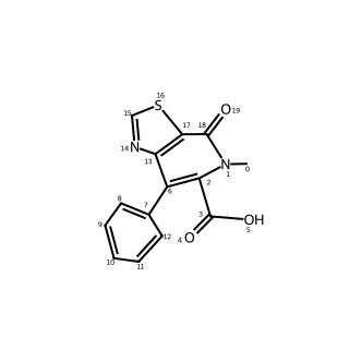 Cn1c(C(=O)O)c(-c2ccccc2)c2ncsc2c1=O